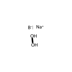 OO.[B-].[Na+]